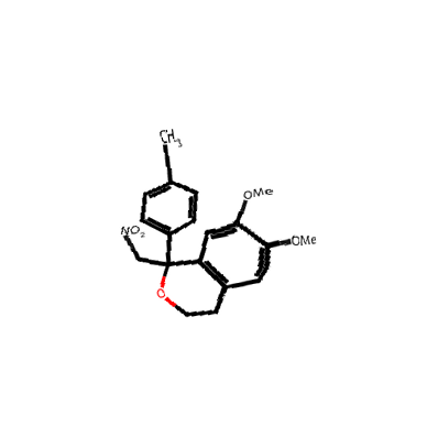 COc1cc2c(cc1OC)C(C[N+](=O)[O-])(c1ccc(C)cc1)OCC2